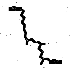 CCCCCCCCCCCCCCCCCCC(C)CCCC(C)CCCC(C)CCCCCCCCCCC